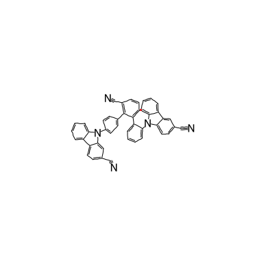 N#Cc1ccc2c(c1)c1ccccc1n2-c1ccccc1-c1cccc(C#N)c1-c1ccc(-n2c3ccccc3c3ccc(C#N)cc32)cc1